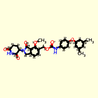 COc1c(COC(=O)Nc2ccc(Oc3cc(C)cc(C)c3)cc2)ccc2c1C(=O)N(C1CCC(=O)NC1=O)C2